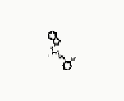 O=C(Cn1ccc2ccccc21)ON=Cc1ccccc1Br